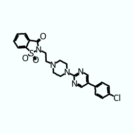 O=C1c2ccccc2S(=O)(=O)N1CCN1CCN(c2ncc(-c3ccc(Cl)cc3)cn2)CC1